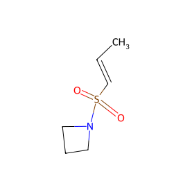 CC=CS(=O)(=O)N1CCC1